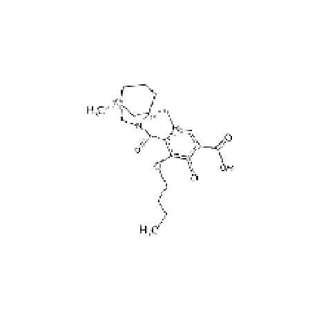 CCCCOc1c2n(cc(C(=O)O)c1=O)C[C@]13CCC[C@](C)(CN1C2=O)C3